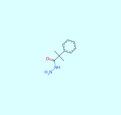 CC(C)(C(=O)NN)c1ccccc1